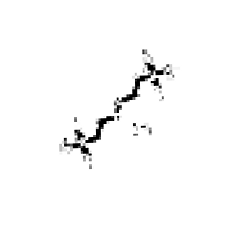 N.O=S(=O)(O)CCSSCCS(=O)(=O)O